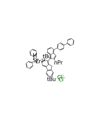 CCCC1=Cc2c(-c3ccc(-c4ccccc4)cc3)cccc2C1c1c2c(c[c]([Zr+2][SiH](c3ccccc3)c3ccccc3)c1C(C)(C)C)-c1ccc(C(C)(C)C)cc1C2.[Cl-].[Cl-]